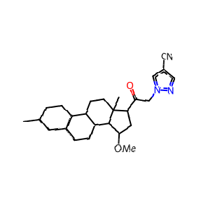 COC1CC(C(=O)Cn2cc(C#N)cn2)C2(C)CCC3C4CCC(C)CC4CCC3C12